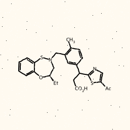 CC[C@@H]1CN(Cc2cc(C(CC(=O)O)c3ncc(C(C)=O)s3)ccc2C)Sc2ccccc2O1